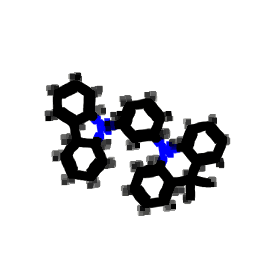 CC1(C)c2ccccc2N(c2cccc(N3c4ccccc4C4C=CC=CC43)c2)c2ccccc21